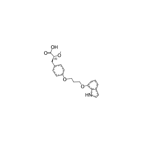 CO[C@@H](Cc1ccc(OCCCOc2cccc3cc[nH]c23)cc1)C(=O)O